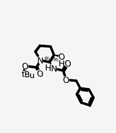 CC(C)(C)OC(=O)N1CCC[C@@H](O)[C@@H]1NC(=O)OCc1ccccc1